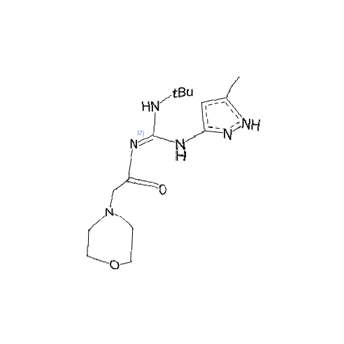 Cc1cc(N/C(=N\C(=O)CN2CCOCC2)NC(C)(C)C)n[nH]1